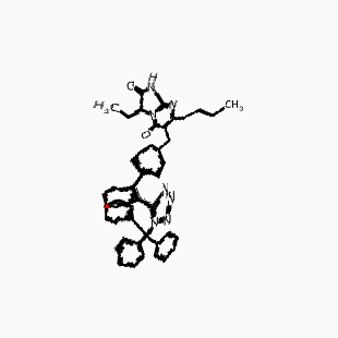 CCCCc1nc2n(c(=O)c1Cc1ccc(-c3ccccc3-c3nnnn3C(c3ccccc3)(c3ccccc3)c3ccccc3)cc1)C(CC)C(=O)N2